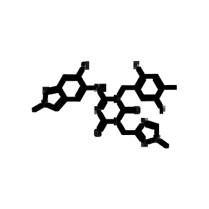 Cc1cc(F)c(Cn2c(Nc3cc4cn(C)nc4cc3Cl)nc(=O)n(Cc3ncn(C)n3)c2=O)cc1F